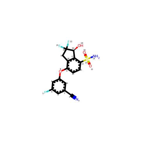 N#Cc1cc(F)cc(Oc2ccc(S(N)(=O)=O)c3c2CC(F)(F)[C@H]3O)c1